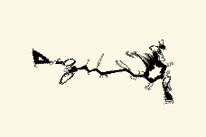 C1CC1.COC(=O)CCCCCCc1cc(OC)cc(OC)c1